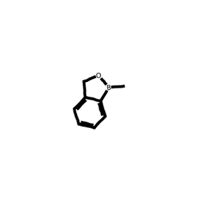 CB1OCc2ccccc21